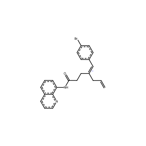 C=CC/C(=C/c1ccc(Br)cc1)CCC(=O)Nc1cccc2cccnc12